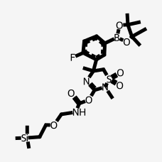 CN1C(OC(=O)NCOCC[Si](C)(C)C)=NC(C)(c2cc(B3OC(C)(C)C(C)(C)O3)ccc2F)CS1(=O)=O